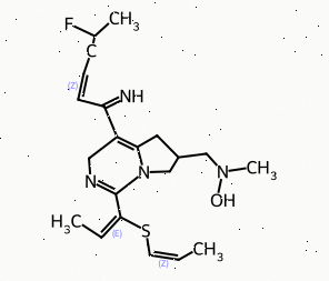 C/C=C\S/C(=C/C)C1=NCC(C(=N)/C=C\CC(C)F)=C2CC(CN(C)O)CN12